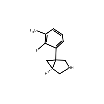 Fc1c(C(F)(F)F)cccc1C12CNC[C@H]1C2